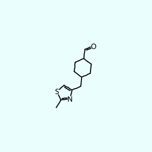 Cc1nc(CC2CCC(C=O)CC2)cs1